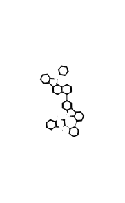 c1ccc(-n2c3ccccc3c3ccc4c(-c5ccc6c(c5)c5cccc7c5n6-c5nc6ccccc6nc5-c5ccccc5-7)cccc4c32)cc1